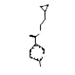 O=C(NCCC1CC1)c1ccc(Cl)nc1